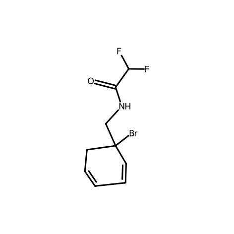 O=C(NCC1(Br)C=CC=CC1)C(F)F